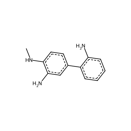 CNc1ccc(-c2ccccc2N)cc1N